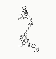 Cc1ncsc1-c1ccc(CNC(=O)[C@@H]2C[C@@H](O)CN2C(=O)C(NC(=O)COCCCCC(=O)N(C)CCOc2cc(F)c([C@@H]3c4[nH]c5ccccc5c4C[C@@H](C)N3CC(C)(C)F)c(F)c2)C(C)(C)C)cc1